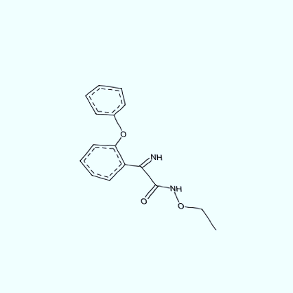 CCONC(=O)C(=N)c1ccccc1Oc1ccccc1